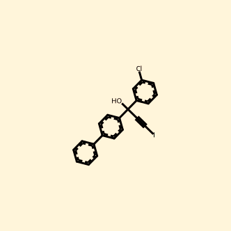 OC(C#CI)(c1ccc(-c2ccccc2)cc1)c1cccc(Cl)c1